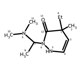 CCC1(C)C=CNN(C(C)N(C)C)C1=O